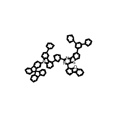 c1ccc(-c2cc(-c3ccccc3)cc(-c3ccc4sc5c(-c6cccc7c6oc6ccccc67)nc(-c6cccc(-c7cccc8c7c7cc(-c9ccccc9)ccc7n8-c7ccc8c(c7)C7(c9ccccc9-c9ccccc97)c7ccccc7-8)c6)nc5c4c3)c2)cc1